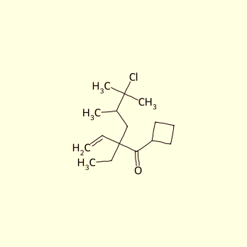 C=CC(CC)(CC(C)C(C)(C)Cl)C(=O)C1CCC1